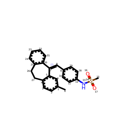 Cc1ccc2c(c1)/C(=C\c1ccc(NS(C)(=O)=O)cc1)c1ccccc1CC2